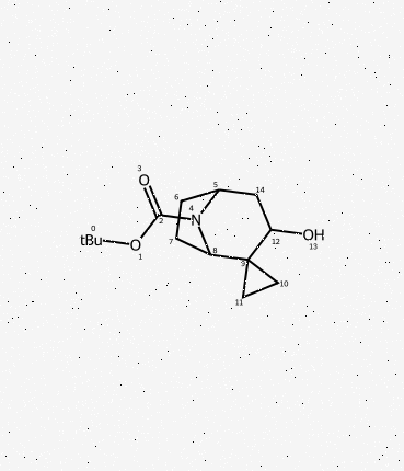 CC(C)(C)OC(=O)N1C2CCC1C1(CC1)C(O)C2